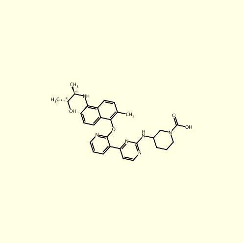 Cc1ccc2c(N[C@H](C)[C@@H](C)O)cccc2c1Oc1ncccc1-c1ccnc(NC2CCCN(C(=O)O)C2)n1